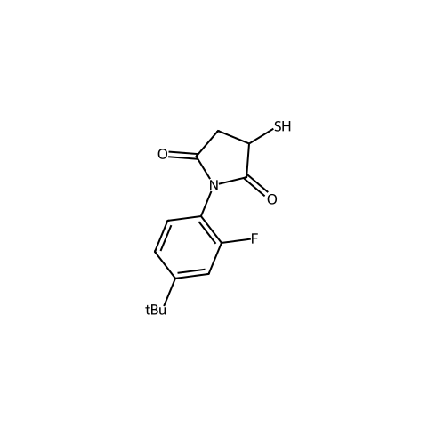 CC(C)(C)c1ccc(N2C(=O)CC(S)C2=O)c(F)c1